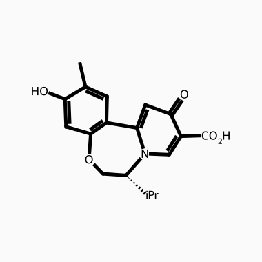 Cc1cc2c(cc1O)OC[C@@H](C(C)C)n1cc(C(=O)O)c(=O)cc1-2